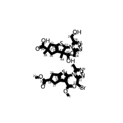 COC(=O)c1c(-n2c(C)nnc2CBr)sc2c1CC(C(=O)OC)C2.Cc1nnc(CO)n1C1SC2=C(CC(C)(C(=O)O)C2)C1(C)C(=O)O